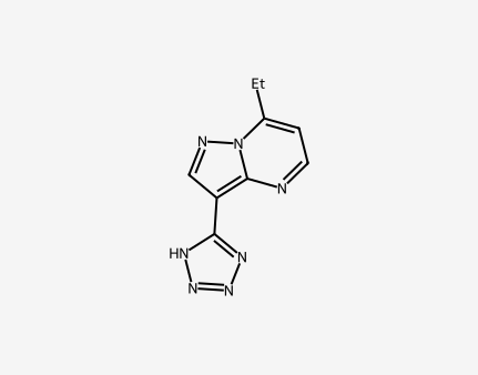 CCc1ccnc2c(-c3nnn[nH]3)cnn12